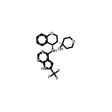 OC1([C@H]2COc3ccccc3[C@@H]2Nc2ncnc3[nH]c(C(F)(F)F)cc23)CCOCC1